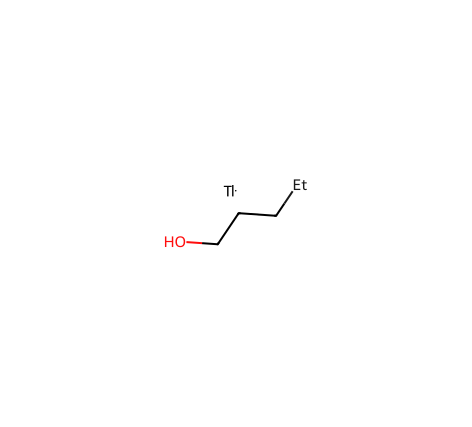 CCCCCO.[Tl]